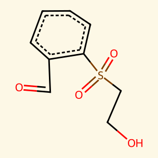 O=Cc1ccccc1S(=O)(=O)CCO